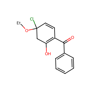 CCOC1(Cl)C=CC(C(=O)c2ccccc2)=C(O)C1